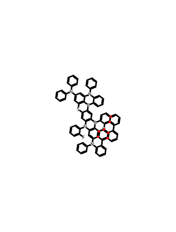 Fc1ccccc1N1c2cc3c(cc2B2c4ccccc4N(c4ccccc4-c4ccccc4)c4cc(N(c5ccccc5)c5ccccc5-c5ccccc5)cc1c42)B1c2ccccc2N(c2ccccc2)c2cc(N(c4ccccc4)c4ccccc4)cc(c21)S3